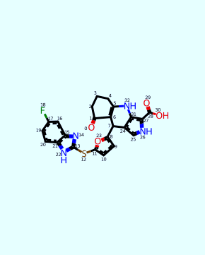 O=C1CCCC2=C1C(c1ccc(Sc3nc4cc(F)ccc4[nH]3)o1)c1c[nH]c(C(=O)O)c1N2